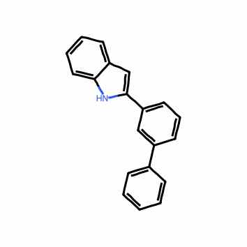 c1ccc(-c2cccc(-c3cc4ccccc4[nH]3)c2)cc1